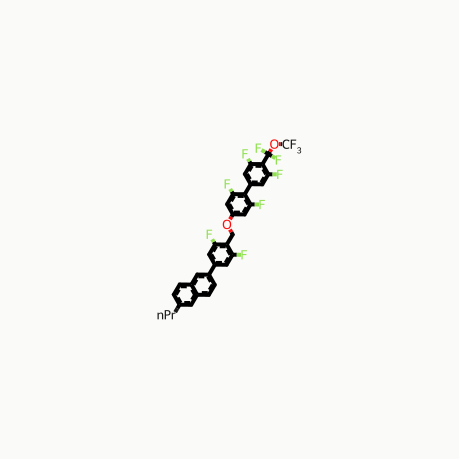 CCCc1ccc2cc(-c3cc(F)c(COc4cc(F)c(-c5cc(F)c(C(F)(F)OC(F)(F)F)c(F)c5)c(F)c4)c(F)c3)ccc2c1